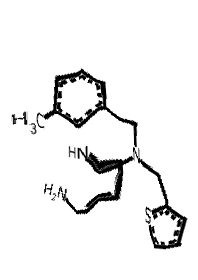 Cc1cccc(CN(Cc2cccs2)C(=N)/C=C\N)c1